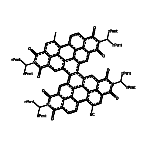 [C-]#[N+]c1cc2c(=O)n(C(CCCCC)CCCCC)c(=O)c3cc4c5c6cc7c(=O)n(C(CCCCC)CCCCC)c(=O)c8ccc9c%10c(C)cc%11c(=O)n(C(CCCCC)CCCCC)c(=O)c%12cc(c5c5cc%13c(=O)n(C(CCCCC)CCCCC)c(=O)c%14ccc%15c1c(c23)c4c5c%15c%14%13)c(c6c9c87)c%10c%11%12